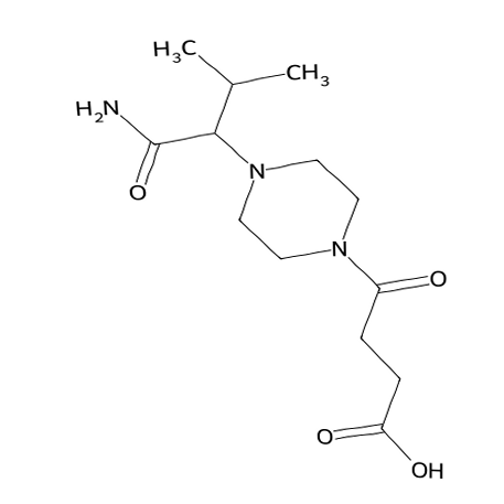 CC(C)C(C(N)=O)N1CCN(C(=O)CCC(=O)O)CC1